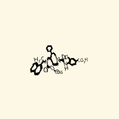 C[C@H](c1cccc2ccccc12)N(CC1CCN(C(=O)Nc2ccc(C(=O)O)cc2Cl)CC1c1ccccc1)C(=O)OC(C)(C)C